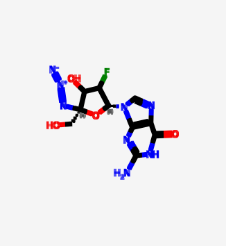 [N-]=[N+]=N[C@]1(CO)O[C@@H](n2cnc3c(=O)[nH]c(N)nc32)C(F)C1O